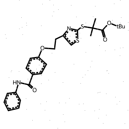 CC(C)(C)OC(=O)C(C)(C)Sc1nc(CCOc2ccc(C(=O)Nc3ccccc3)cc2)cs1